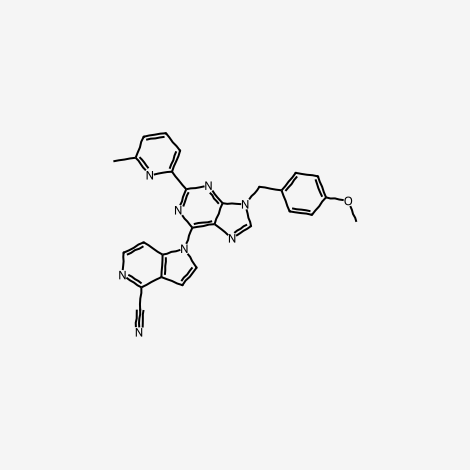 COc1ccc(Cn2cnc3c(-n4ccc5c(C#N)nccc54)nc(-c4cccc(C)n4)nc32)cc1